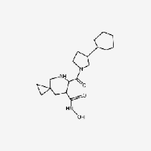 O=C(NO)C1CC2(CC2)CNC1C(=O)N1CCC(C2CCCCC2)C1